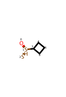 O=[SH](=S)C1CCC1